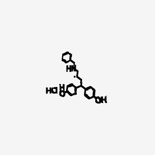 Cl.Oc1ccc(C(C[CH]CNCc2ccccc2)c2ccc(O)cc2)cc1